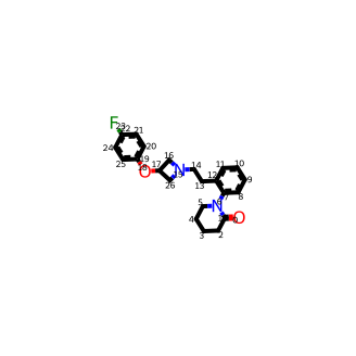 O=C1CCCCN1c1ccccc1CCN1CC(Oc2ccc(F)cc2)C1